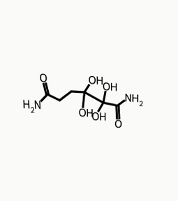 NC(=O)CCC(O)(O)C(O)(O)C(N)=O